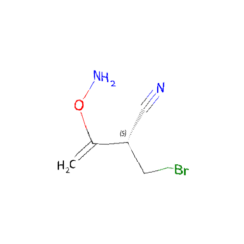 C=C(ON)[C@H](C#N)CBr